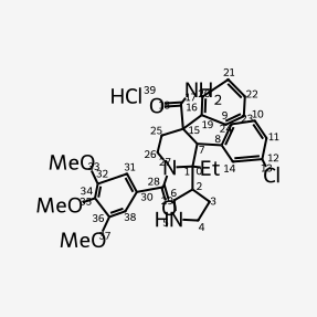 CCC1(C2CCNC2)C(c2cccc(Cl)c2)C(C(N)=O)(c2ccccc2)CCN1C(=O)c1cc(OC)c(OC)c(OC)c1.Cl